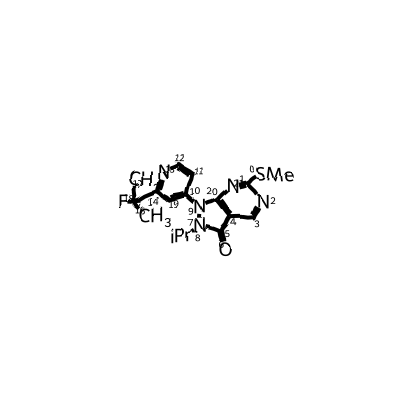 CSc1ncc2c(=O)n(C(C)C)n(-c3ccnc(C(C)(C)F)c3)c2n1